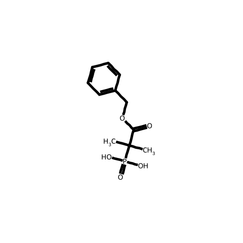 CC(C)(C(=O)OCc1ccccc1)P(=O)(O)O